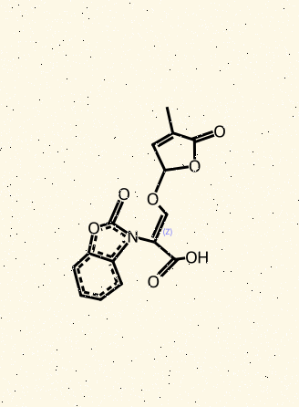 CC1=CC(O/C=C(/C(=O)O)n2c(=O)oc3ccccc32)OC1=O